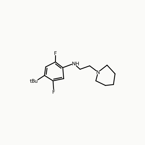 CC(C)(C)c1cc(F)c(NCCN2CCCCC2)cc1F